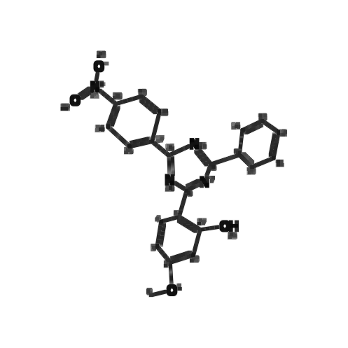 COc1ccc(-c2nc(-c3ccccc3)nc(-c3ccc([N+](=O)[O-])cc3)n2)c(O)c1